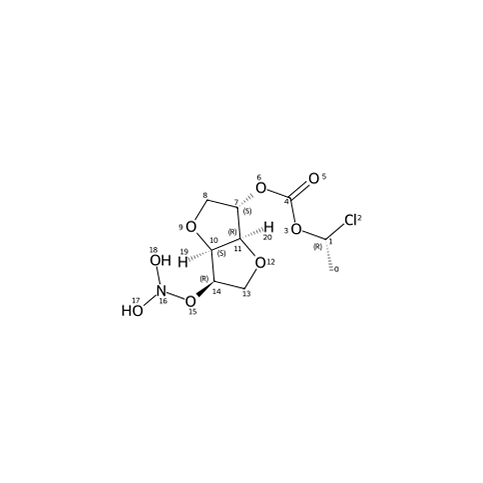 C[C@@H](Cl)OC(=O)O[C@H]1CO[C@H]2[C@@H]1OC[C@H]2ON(O)O